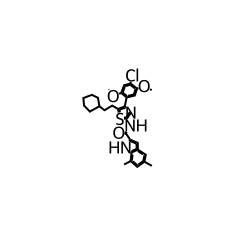 COc1cc(-c2nc(NC(=O)c3cc4cc(C)cc(C)c4[nH]3)sc2CCC2CCCCC2)c(OC)cc1Cl